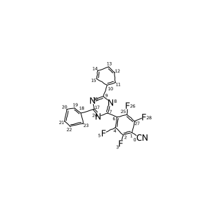 N#Cc1c(F)c(F)c(-c2nc(-c3ccccc3)nc(-c3ccccc3)n2)c(F)c1F